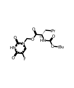 CC(C)C[C@H](NC(=O)OC(C)(C)C)C(=O)OCn1cc(F)c(=O)[nH]c1=O